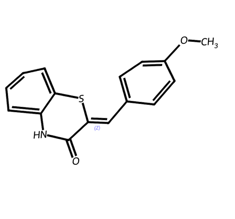 COc1ccc(/C=C2\Sc3ccccc3NC2=O)cc1